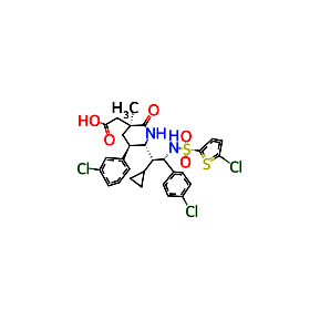 C[C@@]1(CC(=O)O)C[C@H](c2cccc(Cl)c2)[C@@H](C(C2CC2)[C@H](NS(=O)(=O)c2ccc(Cl)s2)c2ccc(Cl)cc2)NC1=O